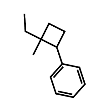 CCC1(C)CCC1c1ccccc1